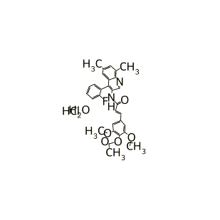 COc1cc(/C=C/C(=O)Nc2cnc3c(C)cc(C)cc3c2-c2ccccc2F)cc(OC)c1OC(C)=O.Cl.O